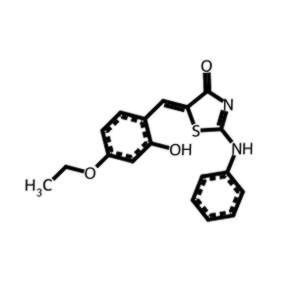 CCOc1ccc(/C=C2\SC(Nc3ccccc3)=NC2=O)c(O)c1